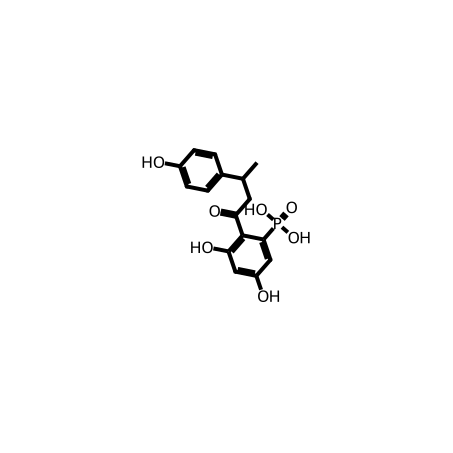 CC(CC(=O)c1c(O)cc(O)cc1P(=O)(O)O)c1ccc(O)cc1